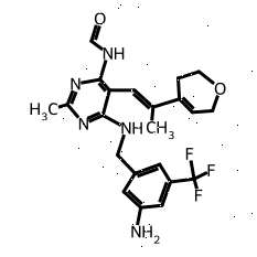 C/C(=C\c1c(NC=O)nc(C)nc1NCc1cc(N)cc(C(F)(F)F)c1)C1=CCOCC1